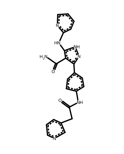 NC(=O)c1c(-c2ccc(NC(=O)Cc3cccnc3)cc2)n[nH]c1Nc1ccccn1